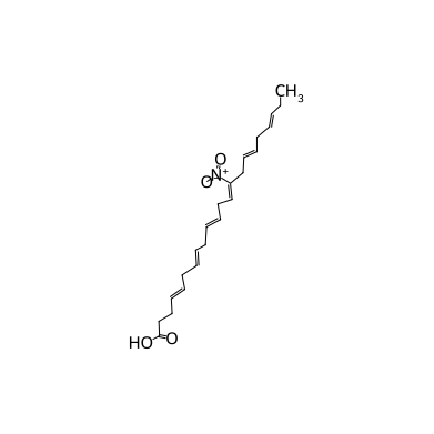 CCC=CCC=CCC(=CCC=CCC=CCC=CCCC(=O)O)[N+](=O)[O-]